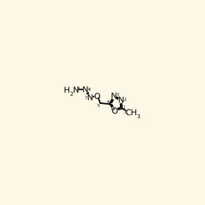 Cc1nnc(CON=NN)o1